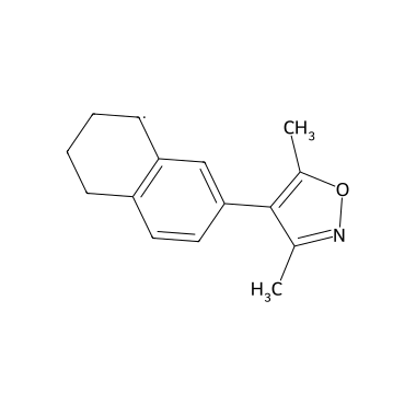 Cc1noc(C)c1-c1ccc2c(c1)[CH]CCC2